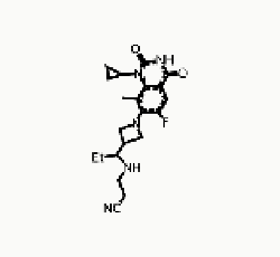 CCC(NCCC#N)C1CN(c2c(F)cc3c(=O)[nH]c(=O)n(C4CC4)c3c2C)C1